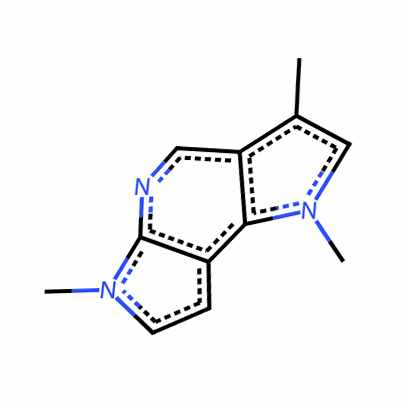 Cc1cn(C)c2c1cnc1c2ccn1C